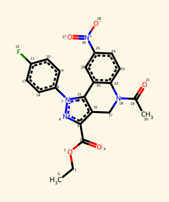 CCOC(=O)c1nn(-c2ccc(F)cc2)c2c1CN(C(C)=O)c1ccc([N+](=O)[O-])cc1-2